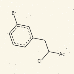 CC(=O)C(Cl)Cc1cccc(Br)c1